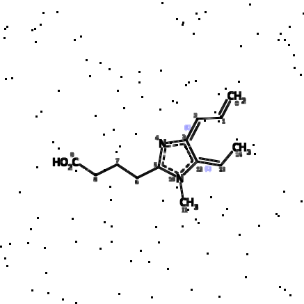 C=C/C=c1/nc(CCCC(=O)O)n(C)/c1=C/C